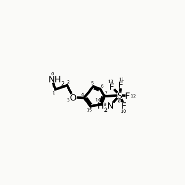 NCCOc1ccc(S(N)(F)(F)(F)F)cc1